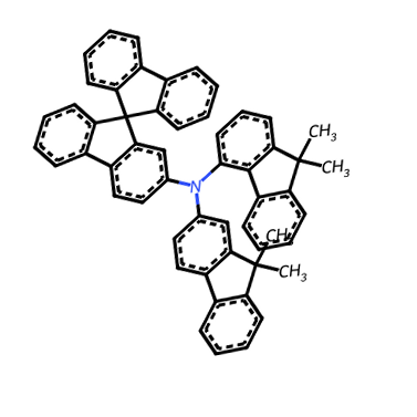 CC1(C)c2ccccc2-c2ccc(N(c3ccc4c(c3)C3(c5ccccc5-c5ccccc53)c3ccccc3-4)c3cccc4c3-c3ccccc3C4(C)C)cc21